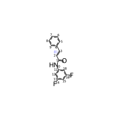 O=C(/C=C/c1ccccc1)Nc1cc(F)cc(F)c1